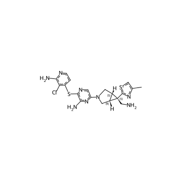 Cc1csc([C@]2(CN)[C@@H]3CN(c4cnc(Sc5ccnc(N)c5Cl)c(N)n4)C[C@@H]32)n1